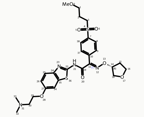 COCCCS(=O)(=O)c1ccc(/C(=N\O[C@@H]2CCOC2)C(=O)Nc2nc3ccc(OCCN(C)C)cc3s2)cc1